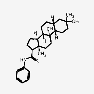 C[C@@]1(O)CC[C@H]2[C@H](CC[C@H]3[C@@H]4CC[C@H](C(=S)Nc5ccccc5)[C@@]4(C)CC[C@]23C)C1